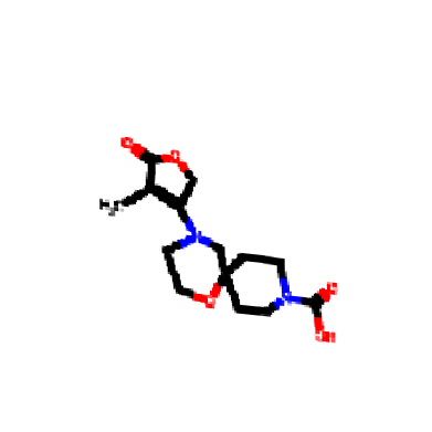 CC1=C(N2CCOC3(CCN(C(=O)O)CC3)C2)COC1=O